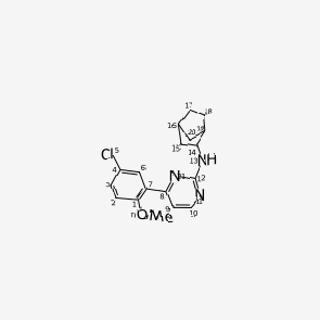 COc1ccc(Cl)cc1-c1ccnc(NC2CC3CCC2C3)n1